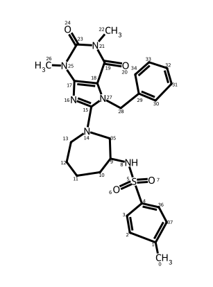 Cc1ccc(S(=O)(=O)NC2CCCCN(c3nc4c(c(=O)n(C)c(=O)n4C)n3Cc3ccccc3)C2)cc1